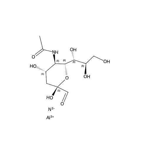 CC(=O)N[C@H]1[C@H]([C@H](O)[C@H](O)CO)O[C@](O)(C=O)C[C@@H]1O.[Al+3].[N-3]